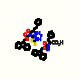 N[C@@H](CCc1ccccc1)C(=O)N(C(=O)OCC1c2ccccc2-c2ccccc21)c1n[nH]c(=S)s1.O=C(N[C@@H](Cc1ccccc1)C(=O)O)OCC1c2ccccc2-c2ccccc21